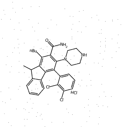 CCCCc1c(C(N)=O)c(N2CCNCC2)c(-c2cccc(Cl)c2Cl)c2c1C(C)c1ccccc1-2.Cl